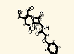 O=[C]C1=C(CBr)C[S+]([O-])[C@@H]2C(NC(=O)COc3ccccc3)C(=O)N12